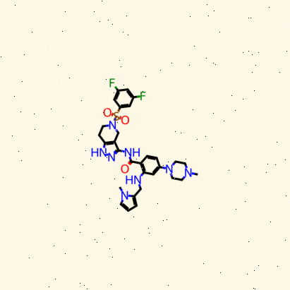 CN1CCN(c2ccc(C(=O)Nc3n[nH]c4c3CN(S(=O)(=O)c3cc(F)cc(F)c3)CC4)c(NCc3cccn3C)c2)CC1